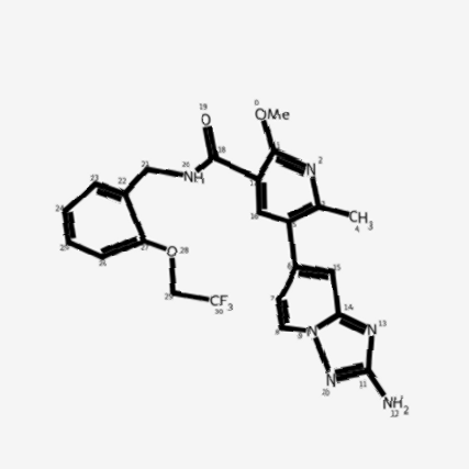 COc1nc(C)c(-c2ccn3nc(N)nc3c2)cc1C(=O)NCc1ccccc1OCC(F)(F)F